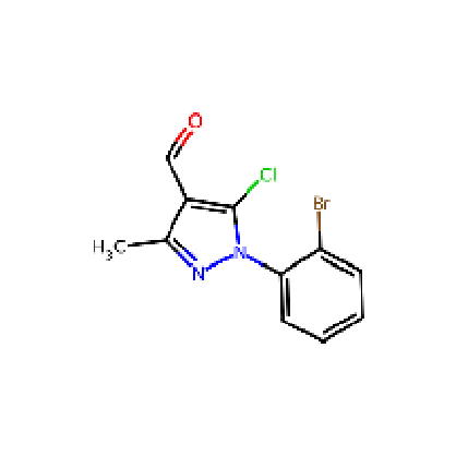 Cc1nn(-c2ccccc2Br)c(Cl)c1C=O